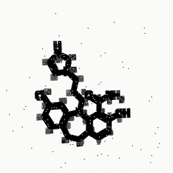 NC(=O)c1c(O)ccc2c1N(CCCN1C=CNC1)c1cc(Cl)ccc1CC2